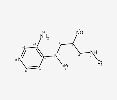 CCCN(CC(CNCC)N=O)c1ccncc1N